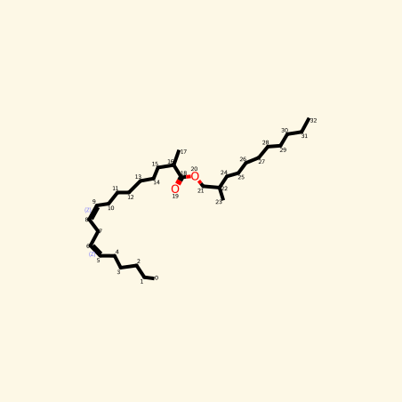 CCCCC/C=C\C/C=C\CCCCCCC(C)C(=O)OCC(C)CCCCCCCCC